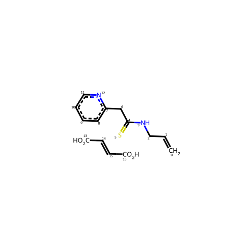 C=CCNC(=S)Cc1ccccn1.O=C(O)C=CC(=O)O